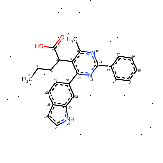 CCCC(C(=O)O)c1c(C)nc(-c2ccccc2)nc1-c1ccc2cc[nH]c2c1